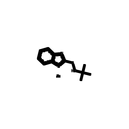 CC(C)(C)NSc1nc2ccccc2s1.[Zn]